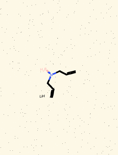 BN(CC=C)CC=C.[LiH]